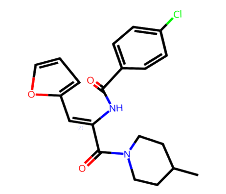 CC1CCN(C(=O)/C(=C/c2ccco2)NC(=O)c2ccc(Cl)cc2)CC1